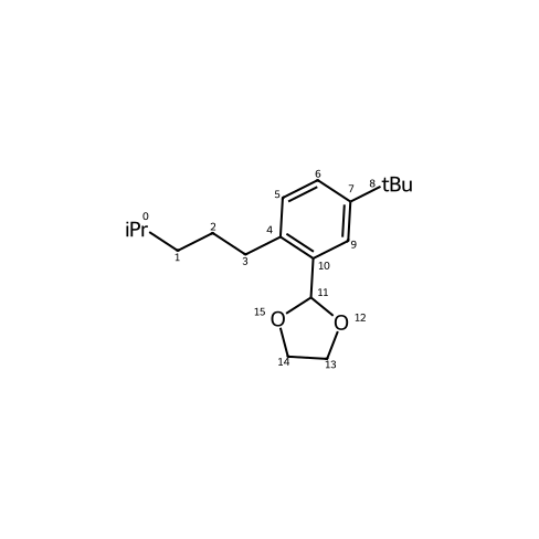 CC(C)CCCc1ccc(C(C)(C)C)cc1C1OCCO1